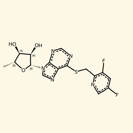 C[C@H]1O[C@@H](n2cnc3c(SCc4ncc(F)cc4F)ncnc32)[C@H](O)[C@@H]1O